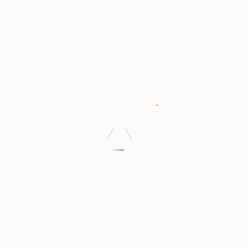 O=C(O)c1ccc(C(CO)CCO)cc1